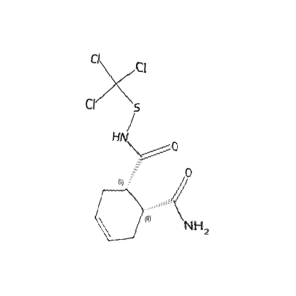 NC(=O)[C@@H]1CC=CC[C@@H]1C(=O)NSC(Cl)(Cl)Cl